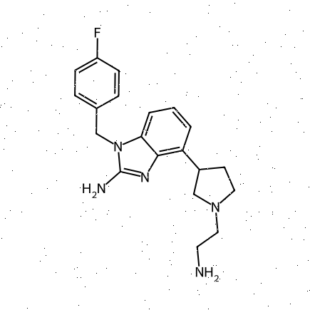 NCCN1CCC(c2cccc3c2nc(N)n3Cc2ccc(F)cc2)C1